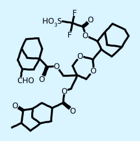 CC1CC2CC(C(=O)OCC3(COC(=O)C45CCCC(CC(C=O)C4)C5)COC(C4CC5CCCC(C5)C4OC(=O)C(F)(F)S(=O)(=O)O)OC3)CC(C2)C1=O